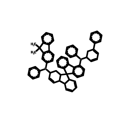 CC1(C)c2ccccc2-c2ccc(N(c3ccccc3)C3C=CC4C5C=CC=CC5C5(c6ccccc6-c6c(N(c7ccccc7)C7C=CC=C(c8ccccc8)C7)cccc65)C4C3)cc21